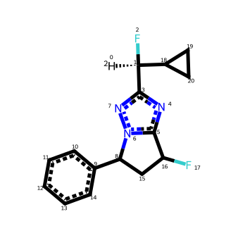 [2H][C@@](F)(c1nc2n(n1)C(c1ccccc1)CC2F)C1CC1